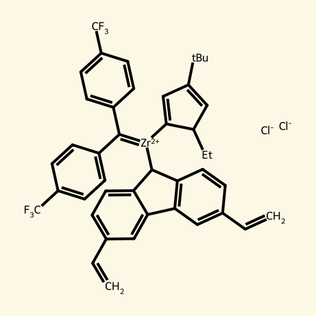 C=Cc1ccc2c(c1)-c1cc(C=C)ccc1[CH]2[Zr+2]([C]1=CC(C(C)(C)C)=CC1CC)=[C](c1ccc(C(F)(F)F)cc1)c1ccc(C(F)(F)F)cc1.[Cl-].[Cl-]